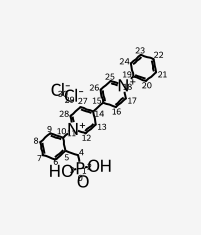 O=P(O)(O)Cc1ccccc1-[n+]1ccc(-c2cc[n+](-c3ccccc3)cc2)cc1.[Cl-].[Cl-]